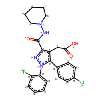 O=C(O)Cc1c(C(=O)NN2CCCCC2)nn(-c2ccccc2F)c1-c1ccc(Cl)cc1